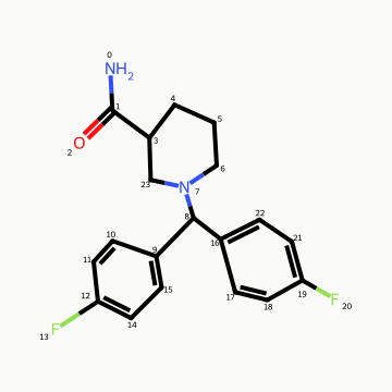 NC(=O)C1CCCN(C(c2ccc(F)cc2)c2ccc(F)cc2)C1